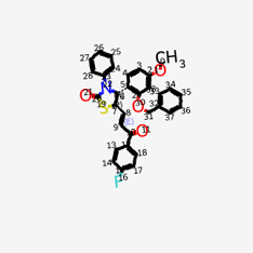 COc1ccc([C@@H]2[C@@H](/C=C/C(=O)c3ccc(F)cc3)SC(=O)N2c2ccccc2)c(OCc2ccccc2)c1